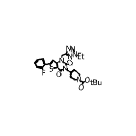 CCn1nnc(Cn2c(=O)n(C3CCN(C(=O)OC(C)(C)C)CC3)c(=O)c3sc(-c4ccccc4F)cc32)n1